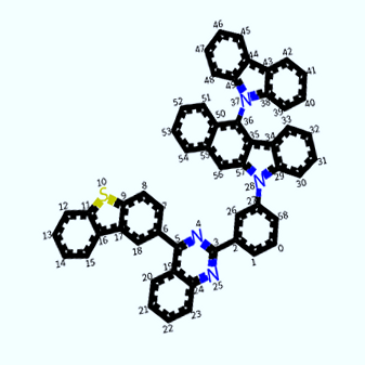 c1cc(-c2nc(-c3ccc4sc5ccccc5c4c3)c3ccccc3n2)cc(-n2c3ccccc3c3c(-n4c5ccccc5c5ccccc54)c4ccccc4cc32)c1